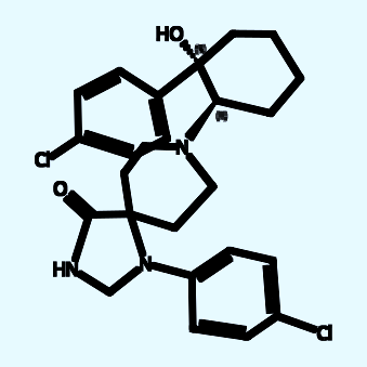 O=C1NCN(c2ccc(Cl)cc2)C12CCN([C@@H]1CCCC[C@]1(O)c1ccc(Cl)cc1)CC2